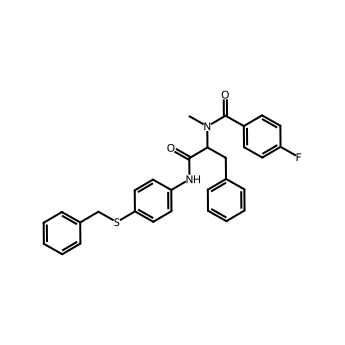 CN(C(=O)c1ccc(F)cc1)C(Cc1ccccc1)C(=O)Nc1ccc(SCc2ccccc2)cc1